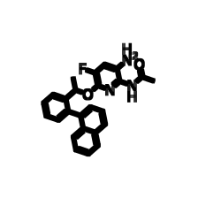 CC(=O)Nc1nc(OC(C)c2ccccc2-c2cccc3ccccc23)c(F)cc1N